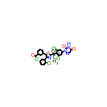 CC(C)(c1nc(-c2ccccc2Cl)c(-c2cccc(C(=O)Cl)c2)s1)c1c(Cl)cc(-n2ncc(=O)[nH]c2=O)cc1Cl